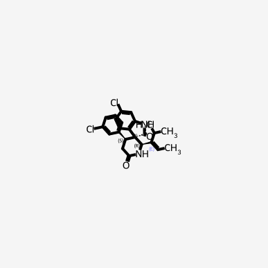 C/C=C(\C(C)C)[C@H]1NC(=O)C[C@@H](c2cccc(Cl)c2)[C@]12C(=O)Nc1cc(Cl)ccc12